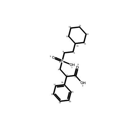 O=C(O)C(CP(=O)(O)CCC1CCCCC1)c1ccccc1